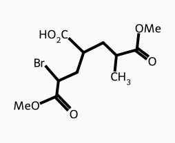 COC(=O)C(C)CC(CC(Br)C(=O)OC)C(=O)O